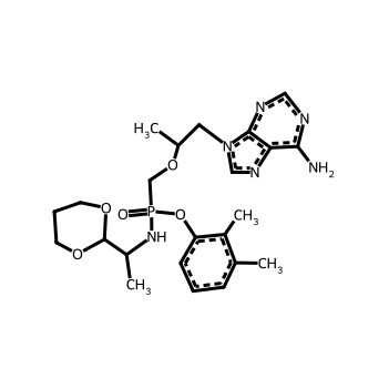 Cc1cccc(OP(=O)(COC(C)Cn2cnc3c(N)ncnc32)NC(C)C2OCCCO2)c1C